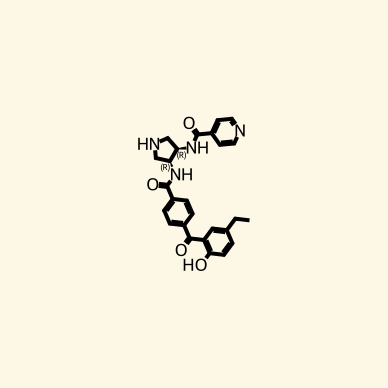 CCc1ccc(O)c(C(=O)c2ccc(C(=O)N[C@@H]3CNC[C@H]3NC(=O)c3ccncc3)cc2)c1